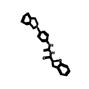 O=C(NC(=S)Nc1ccc(N2CCc3ccccc3C2)cc1)C1Cc2ccccc2O1